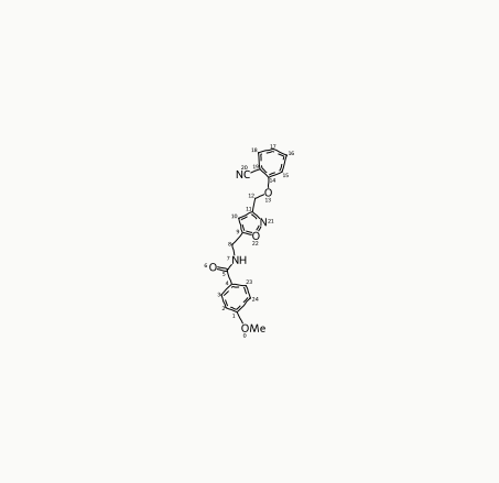 COc1ccc(C(=O)NCc2cc(COc3ccccc3C#N)no2)cc1